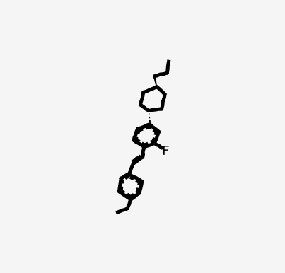 CCC[C@H]1CC[C@H](c2ccc(/C=C/c3ccc(CC)cc3)c(F)c2)CC1